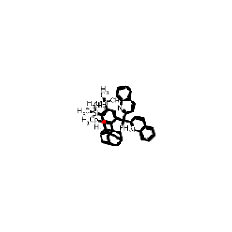 C[Si](C)(C)c1cc(C(P)(c2ccc3ccccc3n2)c2ccc3ccccc3n2)c(C23CC4CC(CC(C4)C2CP)C3)cc1[Si](C)(C)C